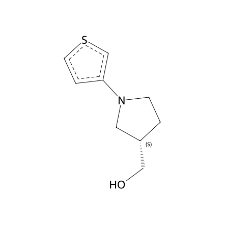 OC[C@H]1CCN(c2ccsc2)C1